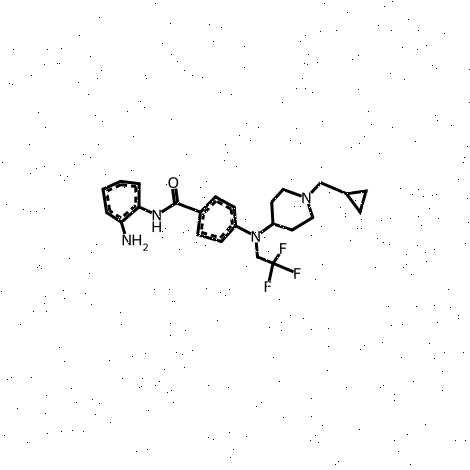 Nc1ccccc1NC(=O)c1ccc(N(CC(F)(F)F)C2CCN(CC3CC3)CC2)cc1